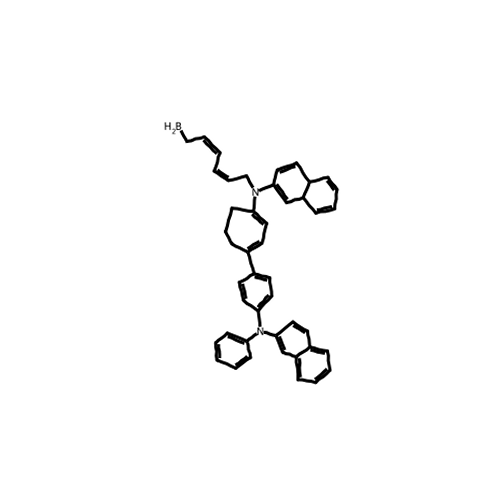 BC/C=C\C=C/CN(C1=CC2C=CC=CC2C=C1)C1=CC=C(c2ccc(N(c3ccccc3)c3ccc4ccccc4c3)cc2)CCC1